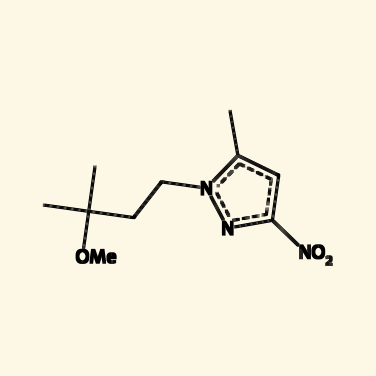 COC(C)(C)CCn1nc([N+](=O)[O-])cc1C